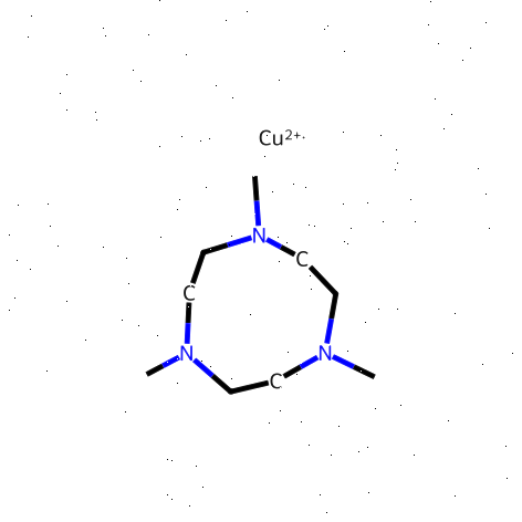 CN1CCN(C)CCN(C)CC1.[Cu+2]